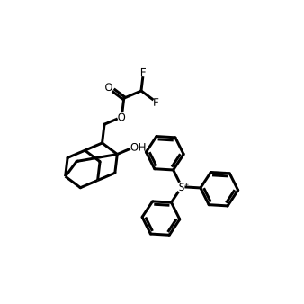 O=C(OCC1C2CC3CC(C2)CC1(O)C3)C(F)F.c1ccc([S+](c2ccccc2)c2ccccc2)cc1